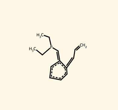 C=C/C=c1/cccc/c1=C\P(CC)CC